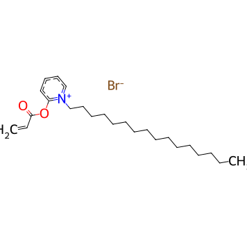 C=CC(=O)Oc1cccc[n+]1CCCCCCCCCCCCCCCC.[Br-]